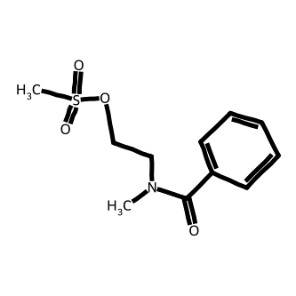 CN(CCOS(C)(=O)=O)C(=O)c1ccccc1